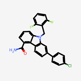 NC(=O)c1cccc2c1c1[c]cc(-c3ccc(Cl)cc3)cc1n2Cc1c(F)cccc1F